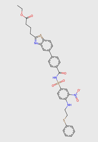 CCOC(=O)CCCc1nc2cc(-c3ccc(C(=O)NS(=O)(=O)c4ccc(NCCSc5ccccc5)c([N+](=O)[O-])c4)cc3)ccc2s1